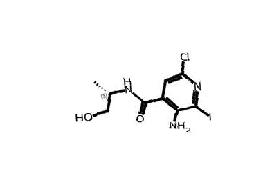 C[C@@H](CO)NC(=O)c1cc(Cl)nc(I)c1N